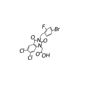 O=C(O)Cn1c(=O)n(Cc2ccc(Br)cc2F)c(=O)c2cc(Cl)c(Cl)cc21